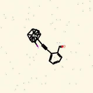 O=Cc1ccccc1C#C[C]12[CH]3[CH]4[CH]5[CH]1[Fe]45321678[CH]2[CH]1[CH]6[C]7(I)[CH]28